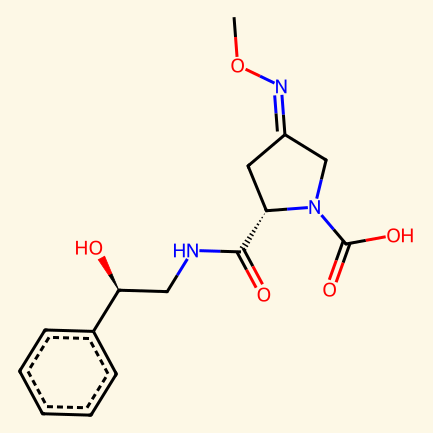 CO/N=C1\C[C@@H](C(=O)NC[C@H](O)c2ccccc2)N(C(=O)O)C1